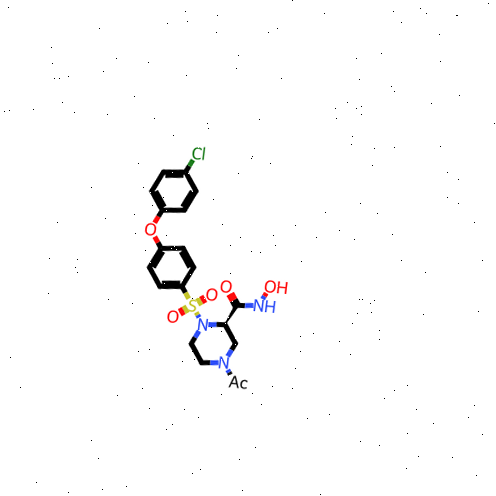 CC(=O)N1CCN(S(=O)(=O)c2ccc(Oc3ccc(Cl)cc3)cc2)[C@@H](C(=O)NO)C1